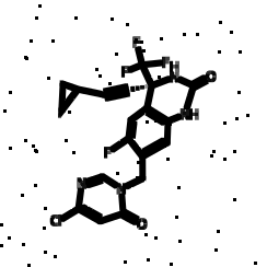 O=C1Nc2cc(Cn3cnc(Cl)cc3=O)c(F)cc2[C@@](C#CC2CC2)(C(F)(F)F)N1